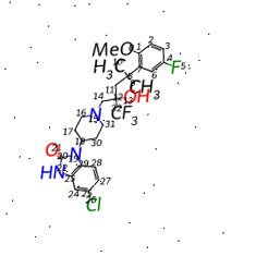 COc1ccc(F)cc1C(C)(C)CC(O)(CN1CCC(n2c(=O)[nH]c3cc(Cl)ccc32)CC1)C(F)(F)F